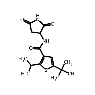 CC(C)c1sc(C(C)(C)C)cc1C(=O)NC1CC(=O)NC1=O